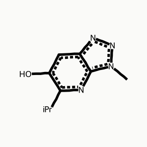 CC(C)c1nc2c(cc1O)nnn2C